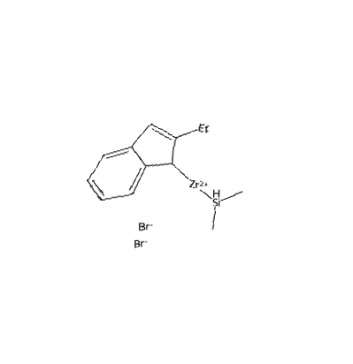 CCC1=Cc2ccccc2[CH]1[Zr+2][SiH](C)C.[Br-].[Br-]